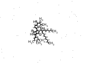 CC/C=C(\S[C@@H](C)CC)C1=C2C(=O)N(CC(CCCCCC)CCCCCCCC)C(c3ccc(C(S)C(C)[C@H](C)OC)s3)=C2C(=O)N1